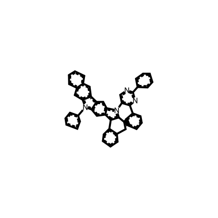 c1cccc(-c2nc(-c3ccccc3)ncc2-n2c3c(c4cc5c(cc42)c2cc4ccccc4cc2n5-c2ccccc2)-c2ccccc2CC3)c#1